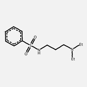 CCN(CC)CCCNS(=O)(=O)c1cc[c]cc1